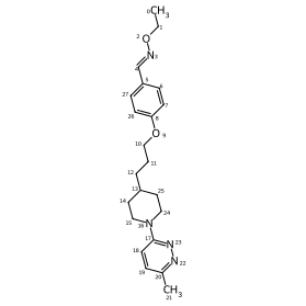 CCON=Cc1ccc(OCCCC2CCN(c3ccc(C)nn3)CC2)cc1